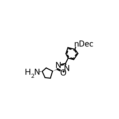 CCCCCCCCCCc1ccc(-c2noc([C@@H]3CC[C@H](N)C3)n2)cc1